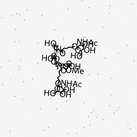 COP(=O)(O)OC[C@@H]1C[C@@H](OP(=O)(O)OC[C@@H]2C[C@@H](O)CN2C(=O)CCCCOC2OC(CO)C(O)C(O)C2NC(C)=O)CN1C(=O)CCCCOC1OC(CO)C(O)C(O)C1NC(C)=O